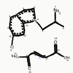 CC(N)Cn1ccc2ccc(Cl)cc21.O=C(O)/C=C/C(=O)O